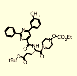 CCOC(=O)ON1CCN(C(=O)[C@H](CCC(=O)OC(C)(C)C)NC(=O)c2cc(-c3cccc(C)c3)nc(-c3ccccc3)n2)CC1